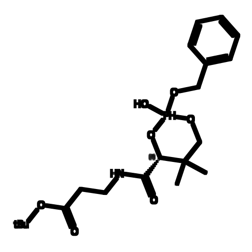 CC(C)(C)OC(=O)CCNC(=O)[C@@H]1O[PH](O)(OCc2ccccc2)OCC1(C)C